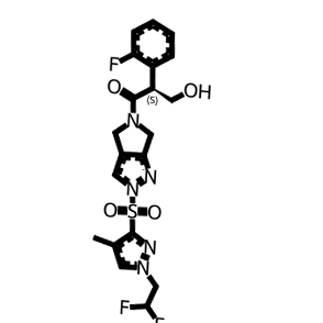 Cc1cn(CC(F)F)nc1S(=O)(=O)n1cc2c(n1)CN(C(=O)[C@H](CO)c1ccccc1F)C2